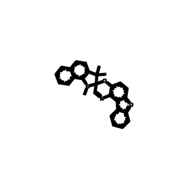 CN1c2c(ccc3ccccc23)C(C)(C)C12C=Nc1c(ccc3oc4ccccc4c13)O2